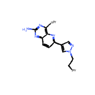 CCCc1nc(N)nc2ccc(-c3cnn(CCC(C)C)c3)nc12